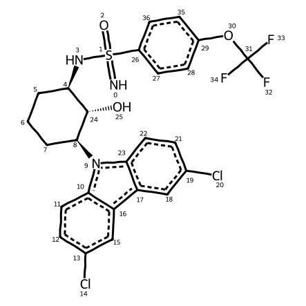 N=S(=O)(N[C@@H]1CCC[C@H](n2c3ccc(Cl)cc3c3cc(Cl)ccc32)[C@H]1O)c1ccc(OC(F)(F)F)cc1